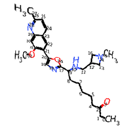 CCC(=O)CCCCCC(NCC1CN(C)C1)c1ncc(-c2cc3ccc(C)nc3cc2OC)o1